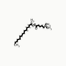 CCCCCCCCCCCCCCC(C)OOC(=O)CCCCN(C)C